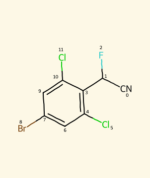 N#CC(F)c1c(Cl)cc(Br)cc1Cl